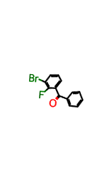 O=C(c1ccccc1)c1cccc(Br)c1F